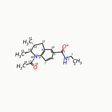 CCNC(=O)c1ccc2c(c1)C[C@@H](C)[C@H](C)N2C(C)=O